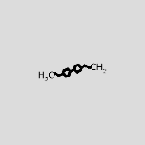 C=CCc1ccc(-c2ccc(CC=C)cc2)cc1